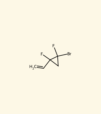 C=CC1(F)CC1(F)Br